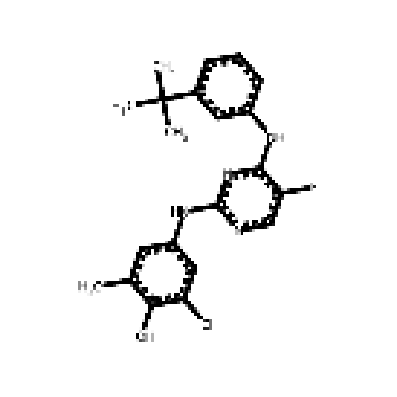 Cc1cc(Nc2ncc(F)c(Nc3cccc(C(C)(C)C)c3)n2)cc(Cl)c1O